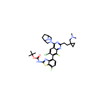 CN(C)CC1(CCc2nc(N3CC4CCC(C3)N4)c3cc(Cl)c(-c4ccc(F)c5sc(NC(=O)OC(C)(C)C)nc45)c(F)c3n2)CC1